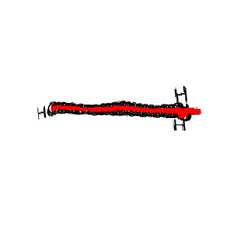 CCCCCCCCCCCCCC(=O)N[C@@H](CCC(=O)NCCOCCOCCOCCOCCOCCOCCOCCOCCOCCOCCOCCOCCOCCOCCOCCOCCOCCOCCOCCOCCOCCOCCOCCOCCOCCOCCOCCOCCOCCOCCOCCOCCOCCOCCOCCOCCC(=O)O)C(=O)OC(C)(C)C